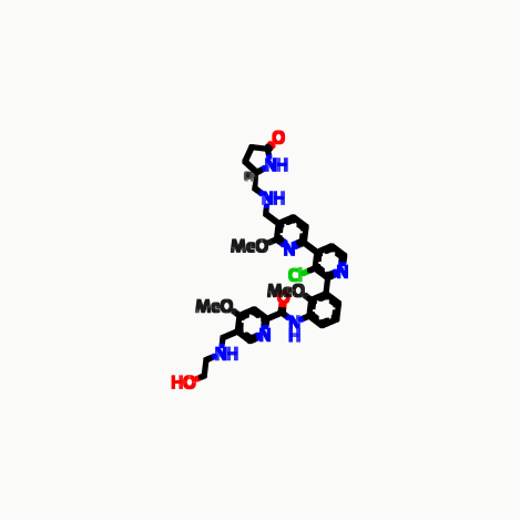 COc1cc(C(=O)Nc2cccc(-c3nccc(-c4ccc(CNC[C@H]5CCC(=O)N5)c(OC)n4)c3Cl)c2OC)ncc1CNCCO